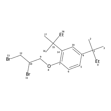 CCC(C)(C)c1ccc(OCC(Br)CBr)c(C(C)(C)CC)c1